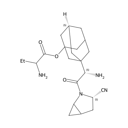 CCC(N)C(=O)OC12CC3C[C@H](C1)CC([C@H](N)C(=O)N1C4CC4C[C@H]1C#N)(C3)C2